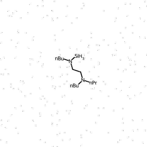 CCCCN([SiH3])CCN(CCC)CCCC